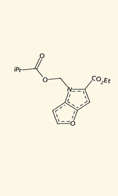 CCOC(=O)c1cc2occc2n1COC(=O)C(C)C